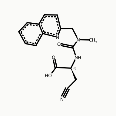 CN(Cc1ccc2ccccc2n1)C(=O)N[C@@H](CC#N)C(=O)O